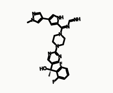 Cn1cc(-c2c[nH]c(/C(=N\C=N)N3CCN(c4ncc([C@](C)(O)c5c(F)cccc5F)cn4)CC3)c2)cn1